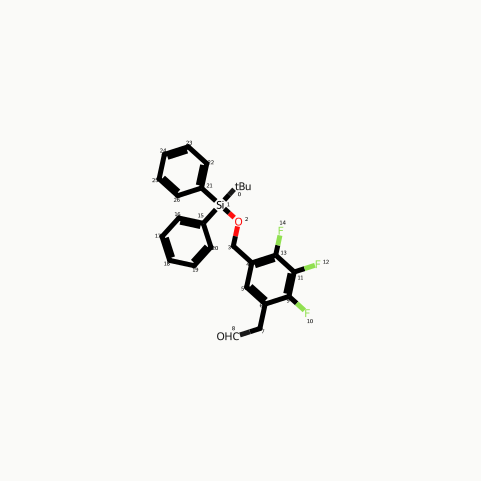 CC(C)(C)[Si](OCc1cc(CC=O)c(F)c(F)c1F)(c1ccccc1)c1ccccc1